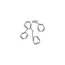 Oc1ccccc1.c1ccc(CCc2ccccc2-c2ccccc2)cc1